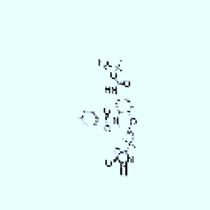 Cc1ccc(S(=O)(=O)N2C[C@H](CC(C)(C)c3n[nH]c(=O)o3)Oc3ccc(NC(=O)OC(C)(C)C(F)(F)F)cc32)cc1